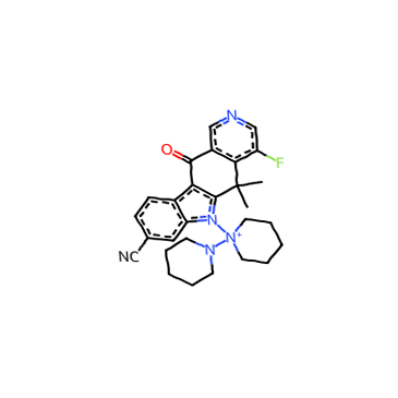 CC1(C)c2c(F)cncc2C(=O)c2c1n([N+]1(N3CCCCC3)CCCCC1)c1cc(C#N)ccc21